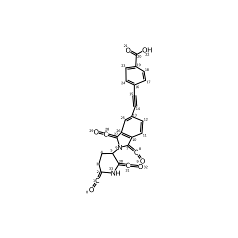 O=C=C1CCC(n2c(=C=O)c3ccc(C#Cc4ccc(C(=O)O)cc4)cc3c2=C=O)C(=C=O)N1